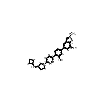 Cn1cc2cc(-c3ccc(-c4ccc(N5CCC(NC6CCC6)C5)nn4)c(O)c3)cc(F)c2n1